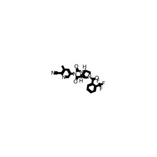 Cc1cc(N2C(=O)[C@@H]3C4C[C@H](CN4C(=O)c4ccccc4C(F)(F)F)N3C2=O)cnc1C#N